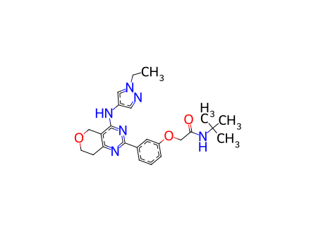 CCn1cc(Nc2nc(-c3cccc(OCC(=O)NC(C)(C)C)c3)nc3c2COCC3)cn1